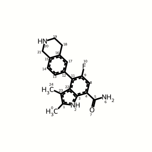 Cc1[nH]c2c(C(N)=O)cc(F)c(-c3ccc4c(c3)CCNC4)c2c1C